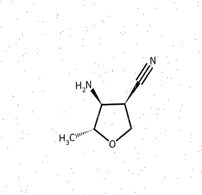 C[C@H]1OC[C@H](C#N)[C@@H]1N